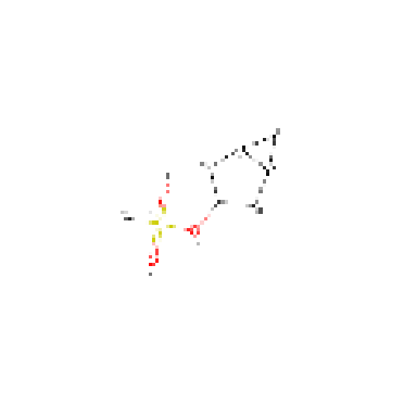 CS(=O)(=O)OC1CC2CC2C1